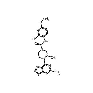 COc1ccc(NC(=O)N2CCN(c3nc(N)nc4scnc34)C(C)C2)c(Cl)n1